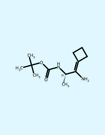 C[C@H](NC(=O)OC(C)(C)C)C(N)=C1CCC1